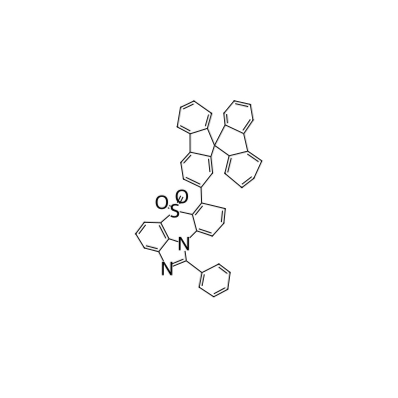 O=S1(=O)c2c(-c3ccc4c(c3)C3(c5ccccc5-c5ccccc53)c3ccccc3-4)cccc2-n2c(-c3ccccc3)nc3cccc1c32